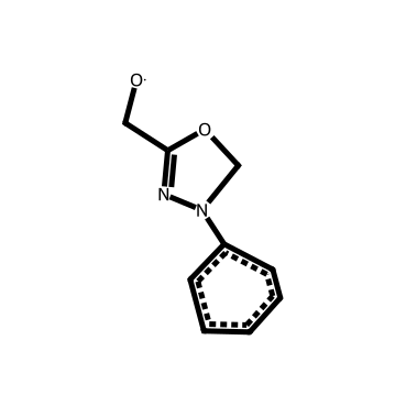 [O]CC1=NN(c2ccccc2)CO1